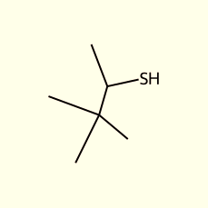 CC(S)C(C)(C)C